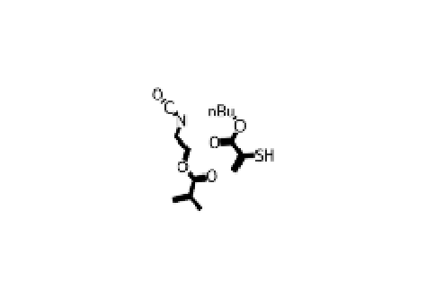 C=C(C)C(=O)OCCN=C=O.C=C(S)C(=O)OCCCC